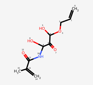 C=CCOC(O)C(=O)C(O)NC(=O)C(=C)C